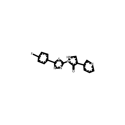 O=c1c(-c2cccnc2)c[nH]n1-c1nnc(-c2ccc(F)cc2)s1